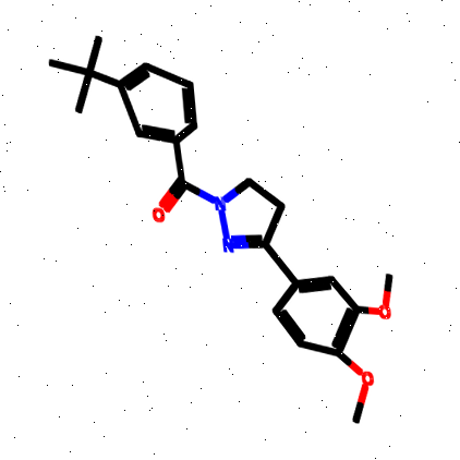 COc1ccc(C2=NN(C(=O)c3cccc(C(C)(C)C)c3)CC2)cc1OC